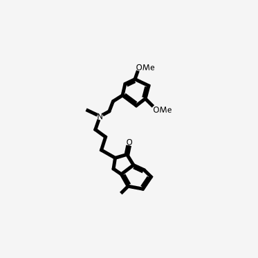 COc1cc(CCN(C)CCCC2Cc3c(C)cccc3C2=O)cc(OC)c1